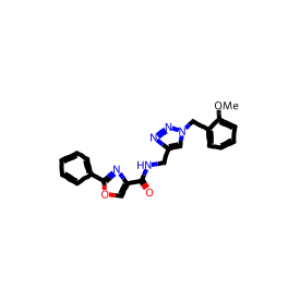 COc1ccccc1Cn1cc(CNC(=O)c2coc(-c3ccccc3)n2)nn1